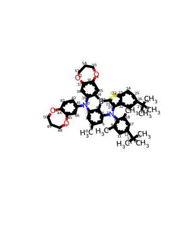 Cc1cc2c3c(c1)N(c1c(C)cc(C(C)(C)C)cc1C)c1c(sc4ccc(C(C)(C)C)cc14)B3c1cc3c(cc1N2c1ccc2c(c1)OCCCO2)OCCCO3